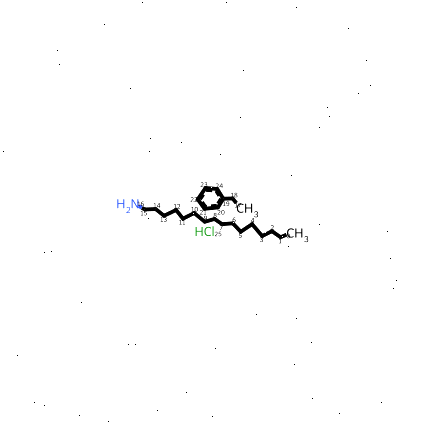 CCCCCCCCCCCCCCCCN.CCc1ccccc1.Cl